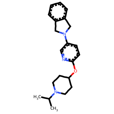 CC(C)N1CCC(Oc2ccc(N3Cc4ccccc4C3)cn2)CC1